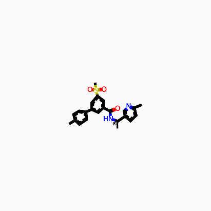 Cc1ccc(-c2cc(C(=O)N[C@H](C)c3ccc(C)nc3)cc(S(C)(=O)=O)c2)cc1